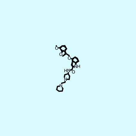 COc1cccc2c(COc3cccc4[nH]c(C(=O)NC5CCN(CCN6CCCCC6)CC5)cc34)coc12